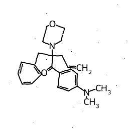 C=CCC(Cc1ccccc1)(C(=O)c1ccc(N(C)C)cc1)N1CCOCC1